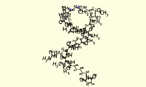 COc1cc2cc(c1Cl)N(C)C(=O)C[C@H](OC(=O)[C@H](C)N(C)C(=O)c1ccc(NC(=O)[C@H](CCCNC(N)=O)NC(=O)[C@@H](NC(=O)CCCCCN3C(=O)C=CC3=O)C(C)C)cc1Cl)[C@]1(C)O[C@H]1[C@H](C)[C@@H]1C[C@@](O)(NC(=O)O1)[C@H](OC)/C=C/C=C(\C)C2